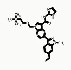 Cn1nc(-c2cnc3c(n2)c(C(=O)Nc2ncc[nH]2)cn3COCC[Si](C)(C)C)c2ccc(CI)cc21